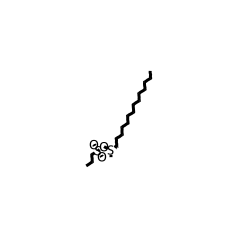 CCCCCCCCCCCCCC[S+](C)OS(=O)(=O)CCC